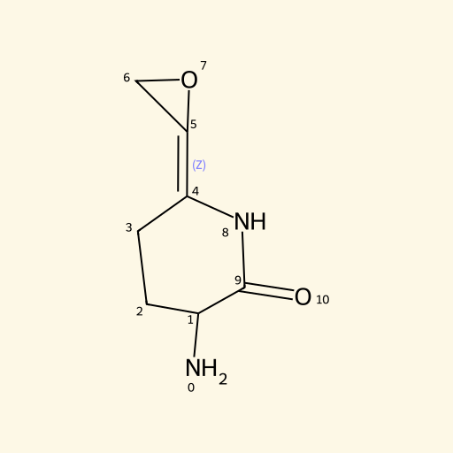 NC1CC/C(=C2\CO2)NC1=O